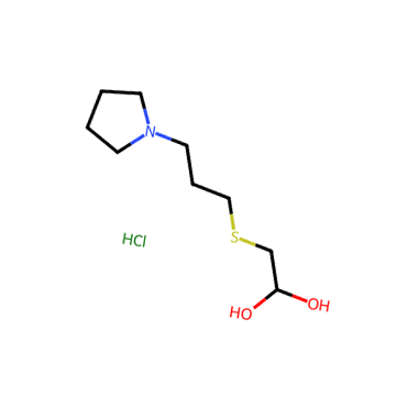 Cl.OC(O)CSCCCN1CCCC1